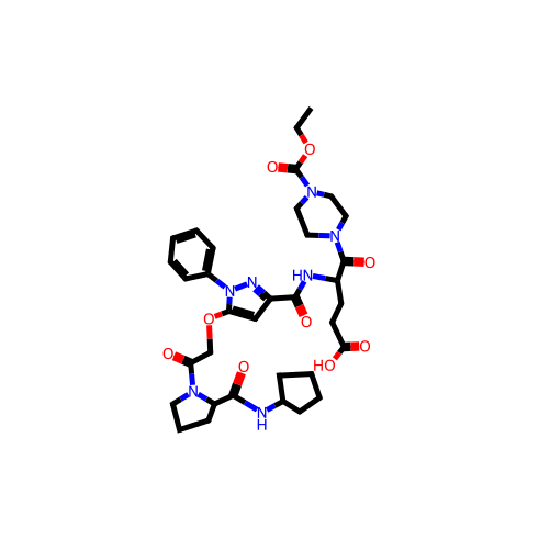 CCOC(=O)N1CCN(C(=O)C(CCC(=O)O)NC(=O)c2cc(OCC(=O)N3CCCC3C(=O)NC3CCCC3)n(-c3ccccc3)n2)CC1